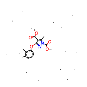 COC(=O)c1c(Oc2cccc(C)c2C)nn(C(=O)OC)c1C